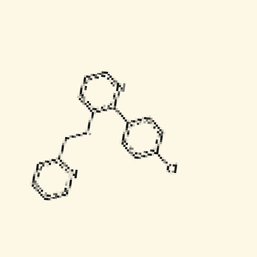 Clc1ccc(-c2ncccc2[CH]Cc2ccccn2)cc1